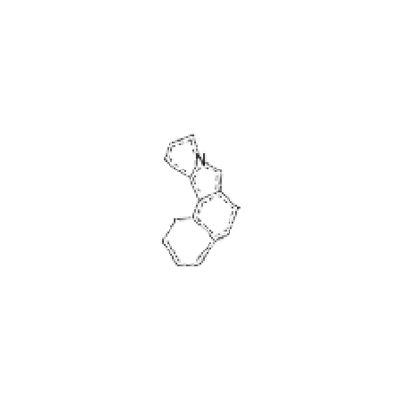 C1=CCc2c(ccc3cn4cccc4c23)=C1